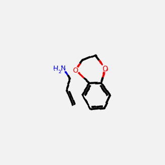 C=CCN.c1ccc2c(c1)OCCO2